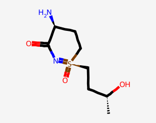 C[C@@H](O)CC[S@@]1(=O)=NC(=O)[C@@H](N)CC1